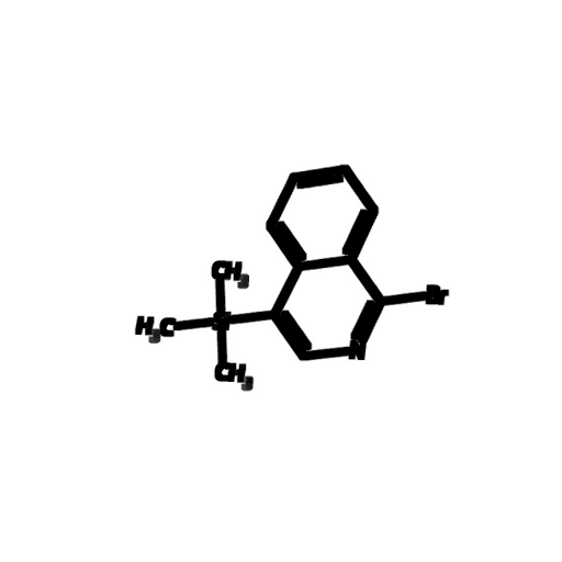 C[Si](C)(C)c1cnc(Br)c2ccccc12